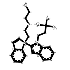 CC(C)(O)CCn1c([N+]2(CCOCCO)[C]=Cc3ccccc32)cc2ccccc21